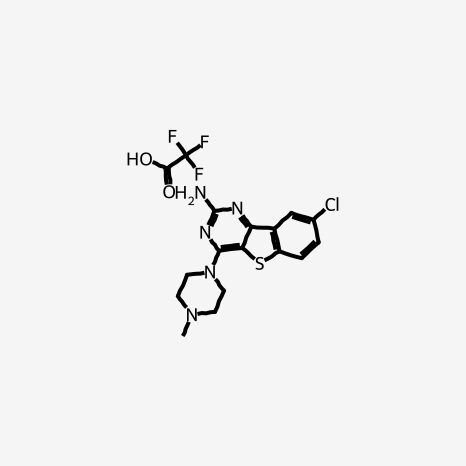 CN1CCN(c2nc(N)nc3c2sc2ccc(Cl)cc23)CC1.O=C(O)C(F)(F)F